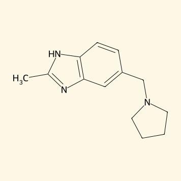 Cc1nc2cc(CN3CCCC3)ccc2[nH]1